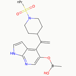 C=C(c1c(OB(C)O)cnc2[nH]ccc12)C1CCN(S(=O)(=O)CCC)CC1